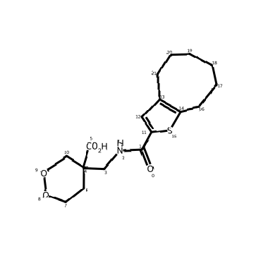 O=C(NCC1(C(=O)O)CCOOC1)c1cc2c(s1)CCCCCC2